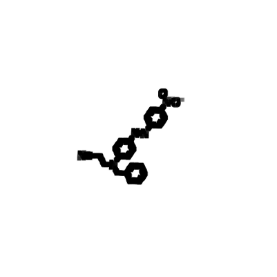 N#CCCN(Cc1ccccc1)c1ccc(N=Nc2ccc([N+](=O)[O-])cc2)cc1